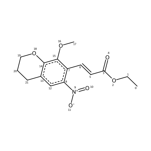 CCOC(=O)/C=C/c1c([N+](=O)[O-])cc2c(c1OC)OCCC2